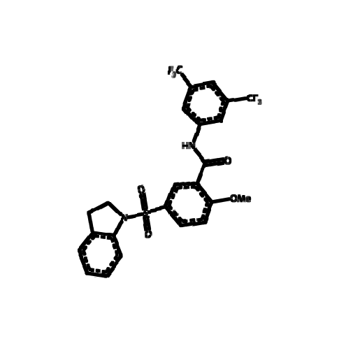 COc1ccc(S(=O)(=O)N2CCc3ccccc32)cc1C(=O)Nc1cc(C(F)(F)F)cc(C(F)(F)F)c1